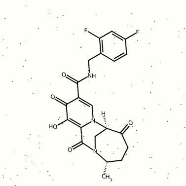 C[C@H]1CCC(=O)[C@H]2CN1C(=O)c1c(O)c(=O)c(C(=O)NCc3ccc(F)cc3F)cn12